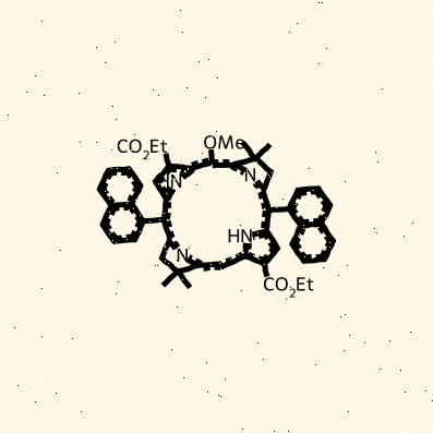 CCOC(=O)c1cc2[nH]c1cc1nc(c(-c3cccc4ccccc34)c3cc(C(=O)OCC)c([nH]3)c(OC)c3nc(c2-c2cccc4ccccc24)CC3(C)C)CC1(C)C